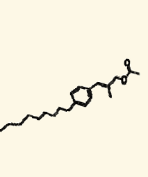 CCCCCCCCCc1ccc(/C=C(\C)COC(C)=O)cc1